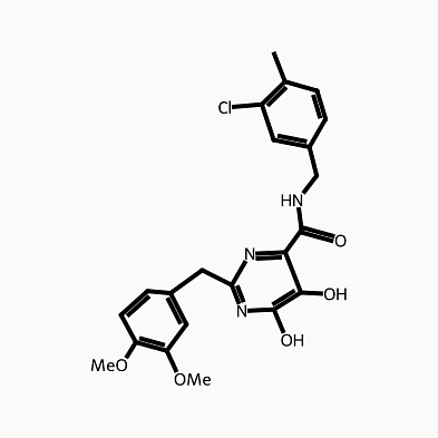 COc1ccc(Cc2nc(O)c(O)c(C(=O)NCc3ccc(C)c(Cl)c3)n2)cc1OC